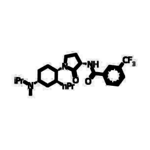 CCC[C@H]1C[C@H](N(C)C(C)C)CC[C@@H]1N1CC[C@H](NC(=O)c2cccc(C(F)(F)F)c2)C1=O